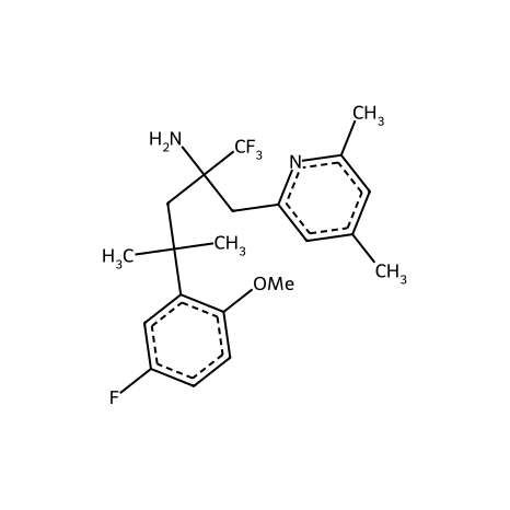 COc1ccc(F)cc1C(C)(C)CC(N)(Cc1cc(C)cc(C)n1)C(F)(F)F